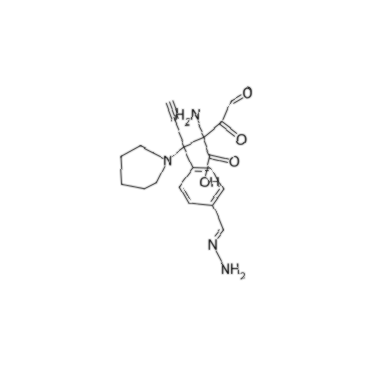 C#CC(c1ccc(C=NN)cc1)(N1CCCCC1)C(N)(C(=O)O)C(=O)C=O